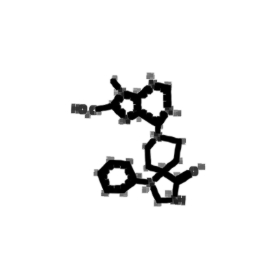 Cn1c(C(=O)O)nc2c(N3CCC4(CC3)C(=O)NCN4c3ccccc3)ncnc21